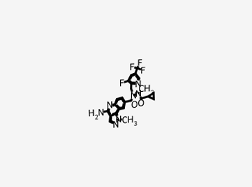 CN(C(=O)C1CC1)N(Cc1ncc(C(F)(F)F)cc1F)C(=O)c1ccc2nc(N)c3cnn(C)c3c2c1